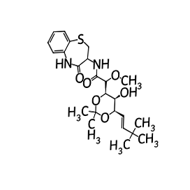 COC(C(=O)NC1CSc2ccccc2NC1=O)[C@@H]1OC(C)(C)O[C@H](C=CC(C)(C)C)[C@@H]1O